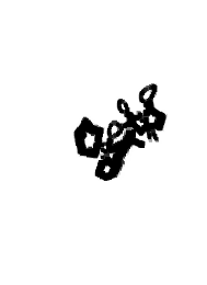 CC(C)(C)[Si](O[C@@H]1C[C@@H]2CCC(=O)N2C1=O)(c1ccccc1)c1ccccc1